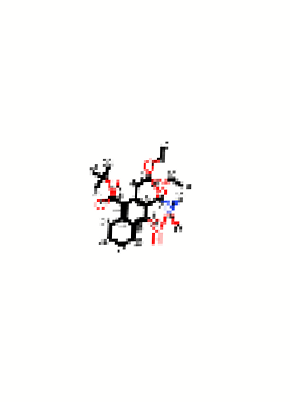 CCOC(Cc1c(C(=O)N(C)OC)c(O)c2c(c1C(=O)OC(C)(C)C)CCCC2)OCC